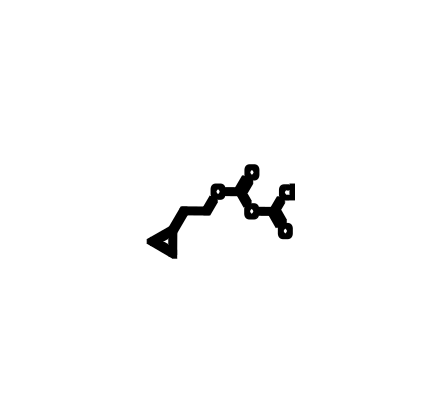 O=C(Cl)OC(=O)OCCC1CC1